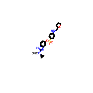 O=CN(c1nc2cc(OS(=O)(=O)c3ccc(NCC4CCCO4)cc3)ccc2[nH]1)C1CC1